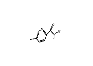 CCN(C)C(=O)c1ccc(C)cn1